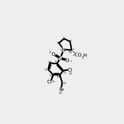 O=C(O)[C@H]1CCCN1S(=O)(=O)c1ccc(Cl)c(CBr)c1Cl